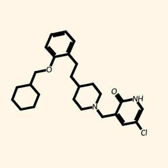 O=c1[nH]cc(Cl)cc1CN1CCC(CCc2ccccc2OCC2CCCCC2)CC1